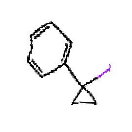 IC1(c2ccccc2)CC1